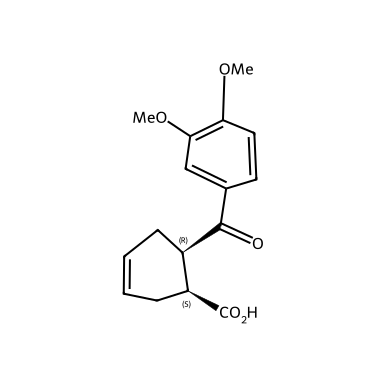 COc1ccc(C(=O)[C@@H]2CC=CC[C@@H]2C(=O)O)cc1OC